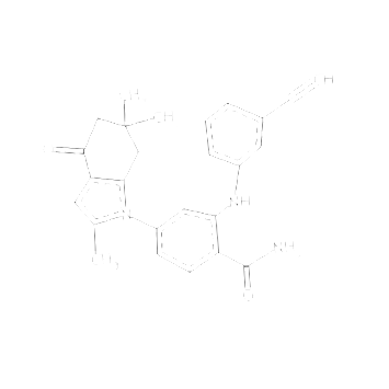 C#Cc1cccc(Nc2cc(-n3c(C)cc4c3CC(C)(C)CC4=O)ccc2C(N)=O)c1